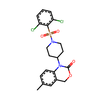 Cc1ccc2c(c1)COC(=O)N2C1CCN(S(=O)(=O)c2c(Cl)cccc2Cl)CC1